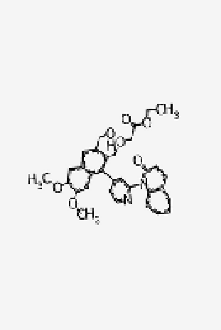 CCOC(=O)COCc1c(CO)cc2cc(OC)c(OC)cc2c1-c1ccnc(-n2c(=O)ccc3ccccc32)c1